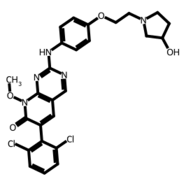 COn1c(=O)c(-c2c(Cl)cccc2Cl)cc2cnc(Nc3ccc(OCCN4CCC(O)C4)cc3)nc21